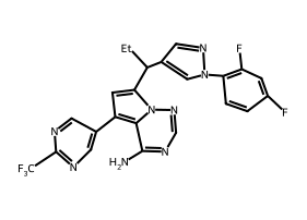 CCC(c1cnn(-c2ccc(F)cc2F)c1)c1cc(-c2cnc(C(F)(F)F)nc2)c2c(N)ncnn12